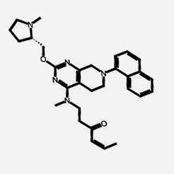 C/C=C\C(=O)CCN(C)c1nc(OC[C@@H]2CCCN2C)nc2c1CCN(c1cccc3ccccc13)C2